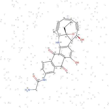 CC(C)C[C@@]12O[C@]13c1cc(O)c4c(c1N[C@H]2C#C/C=C\C#C[C@H]3O)C(=O)c1ccc(NC(=O)CN)cc1C4=O